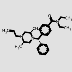 C=CCN1C[C@@H](C)N([C@@H](c2ccccc2)c2ccc(C(=O)N(CC)CC)cc2)C[C@H]1C